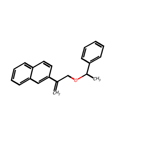 C=C(COC(C)c1ccccc1)c1ccc2ccccc2c1